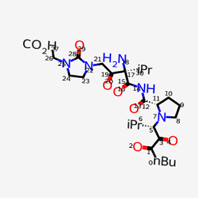 CCCCC(=O)C(=O)[C@H](C(C)C)N1CCC[C@H]1C(=O)NC(=O)[C@](N)(C(=O)CN1CCN(CC(=O)O)C1=O)C(C)C